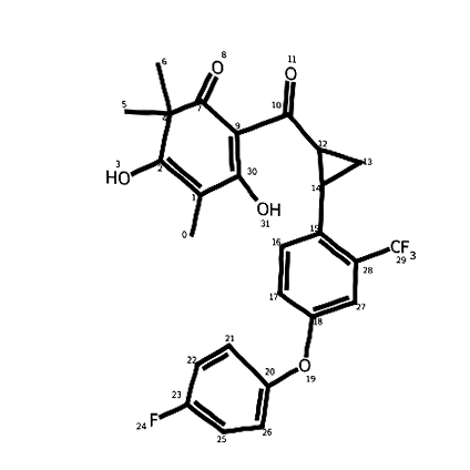 CC1=C(O)C(C)(C)C(=O)C(C(=O)C2CC2c2ccc(Oc3ccc(F)cc3)cc2C(F)(F)F)=C1O